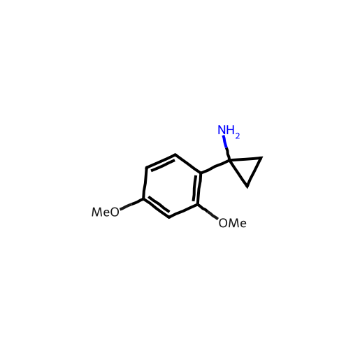 COc1ccc(C2(N)CC2)c(OC)c1